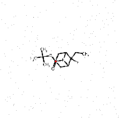 CCC1(F)C2COCC1N2C(=O)OC(C)(C)C